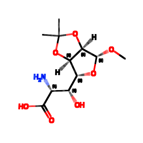 CO[C@@H]1O[C@H]([C@H](O)[C@@H](N)C(=O)O)[C@H]2OC(C)(C)O[C@@H]12